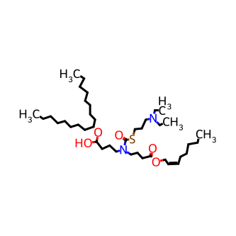 CCCCC/C=C\COC(=O)CCCN(CCCC(O)OC(CCCCCCCC)CCCCCCCC)C(=O)SCCCN(CC)CC